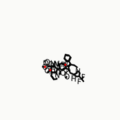 CC[C@]12C=CCN3CC[C@@]4(c5cc([C@@]6(C(=O)OC)C[C@H]7CC(C(C)(F)F)CN(CCc8c6[nH]c6ccccc86)C7)c(OC)cc5N(C)[C@H]4[C@@](O)(C(=O)OC)[C@@H]1OC(C)=O)[C@@H]32